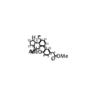 COC(=O)Cc1ccc(OC)c(-c2ccc(C)cc2CN(C(C)=O)C2CCCC2)c1